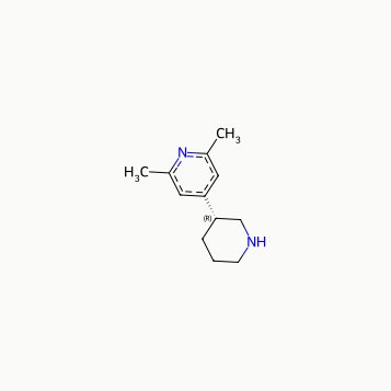 Cc1cc([C@H]2CCCNC2)cc(C)n1